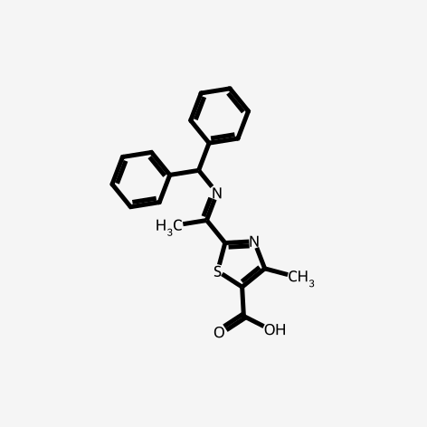 CC(=NC(c1ccccc1)c1ccccc1)c1nc(C)c(C(=O)O)s1